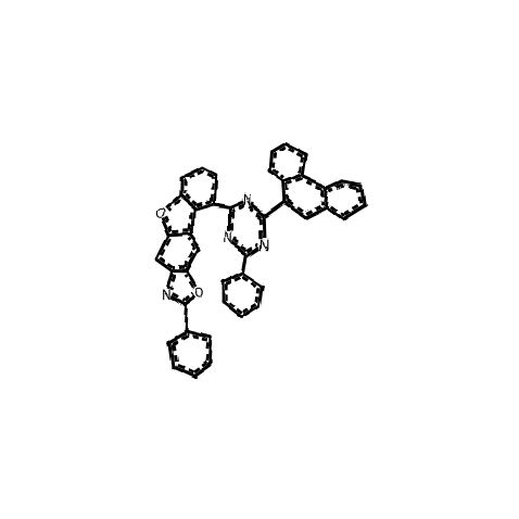 c1ccc(-c2nc(-c3cc4ccccc4c4ccccc34)nc(-c3cccc4oc5cc6nc(-c7ccccc7)oc6cc5c34)n2)cc1